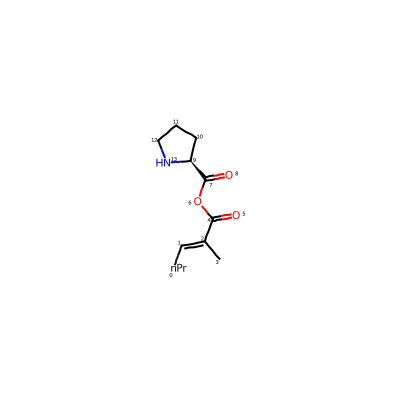 CCCC=C(C)C(=O)OC(=O)[C@@H]1CCCN1